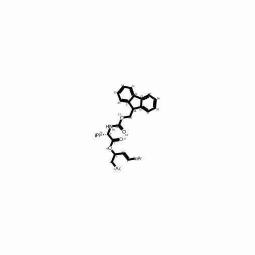 CCC/C=C/C(CC(C)=O)OC(=O)[C@@H](NC(=O)OCC1c2ccccc2-c2ccccc21)C(C)C